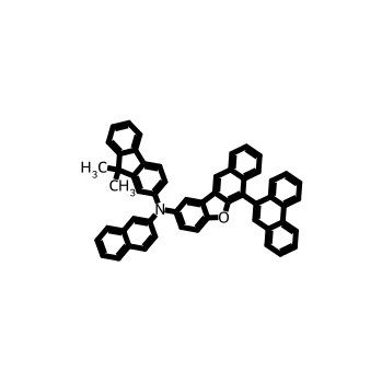 CC1(C)c2ccccc2-c2ccc(N(c3ccc4ccccc4c3)c3ccc4oc5c(-c6cc7ccccc7c7ccccc67)c6ccccc6cc5c4c3)cc21